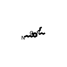 CCCCN(CCCC)c1ccc(C=CC=CC#N)c(OC)c1